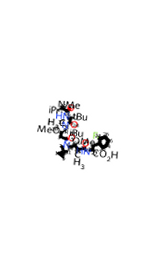 CC[C@H](C)[C@@H](C(CC(=O)N1CC2(CC2)C[C@H]1[C@H](OC)[C@@H](C)C(=O)N[C@@H](Cc1ccccc1F)C(=O)O)OC)N(C)C(=O)[C@@H](NC(=O)[C@@H](NC)C(C)C)C(C)(C)C